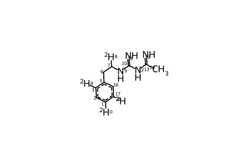 [2H]c1cc([2H])c(CC([2H])NC(=N)NC(C)=N)cc1[2H]